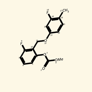 COC(=O)Oc1cccc(F)c1COc1ccc(C)c(F)c1